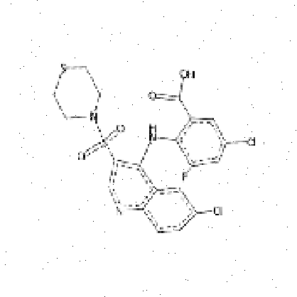 O=C(O)c1cc(Cl)cc(F)c1Nc1c(S(=O)(=O)N2CCSCC2)cnc2ccc(Cl)cc12